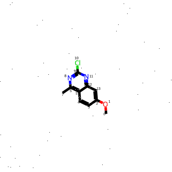 COc1ccc2c(C)nc(Cl)nc2c1